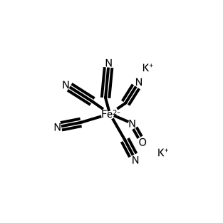 N#[C][Fe-2]([C]#N)([C]#N)([C]#N)([C]#N)[N]=O.[K+].[K+]